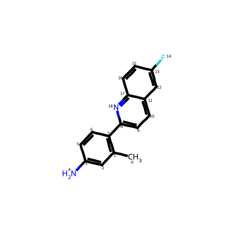 Cc1cc(N)ccc1-c1ccc2cc(F)ccc2n1